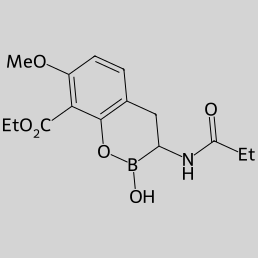 CCOC(=O)c1c(OC)ccc2c1OB(O)C(NC(=O)CC)C2